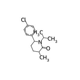 CC1CCC(c2ccc(Cl)cc2)N(C(C)C)C1=O